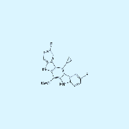 COc1c2[nH]c3ccc(F)cc3c2c(C2CC2)c2c1[nH]c1ccc(F)cc12